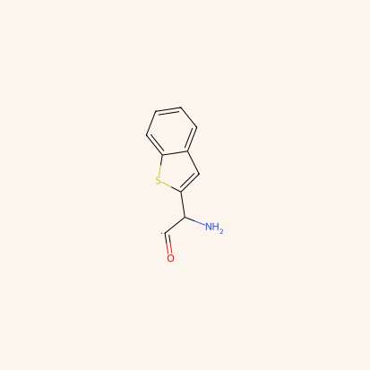 NC([C]=O)c1cc2ccccc2s1